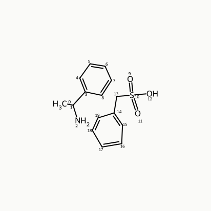 CC(N)c1ccccc1.O=S(=O)(O)Cc1ccccc1